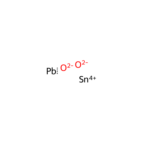 [O-2].[O-2].[Pb].[Sn+4]